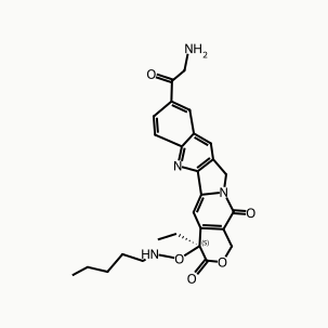 CCCCCNO[C@]1(CC)C(=O)OCc2c1cc1n(c2=O)Cc2cc3cc(C(=O)CN)ccc3nc2-1